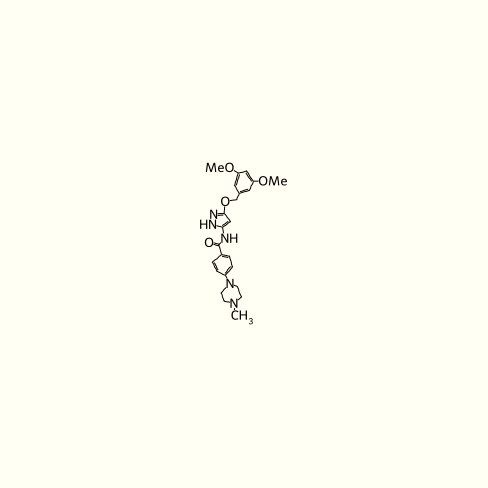 COc1cc(COc2cc(NC(=O)c3ccc(N4CCN(C)CC4)cc3)[nH]n2)cc(OC)c1